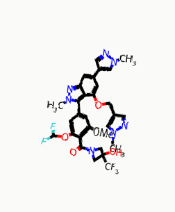 COc1cc(-c2c3c(OCc4cnn(C)c4)cc(-c4cnn(C)c4)cc3nn2C)cc(OC(F)F)c1C(=O)N1CC(O)(C(F)(F)F)C1